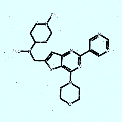 CN1CCC(N(C)Cc2cc3nc(-c4cncnc4)nc(N4CCOCC4)c3s2)CC1